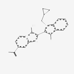 C=C(CC)c1ccn2c(C)c(-c3c(Br)c4ccccc4n3CC3CC3)nc2c1